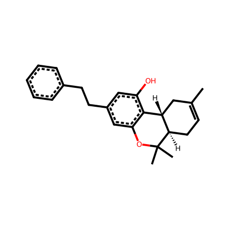 CC1=CC[C@@H]2[C@@H](C1)c1c(O)cc(CCc3ccccc3)cc1OC2(C)C